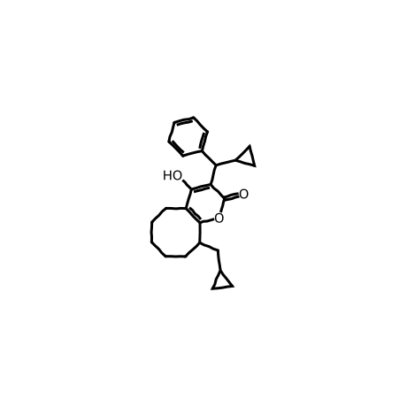 O=c1oc2c(c(O)c1C(c1ccccc1)C1CC1)CCCCCC2CC1CC1